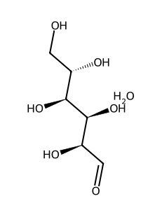 O.O=C[C@@H](O)[C@H](O)[C@@H](O)[C@@H](O)CO